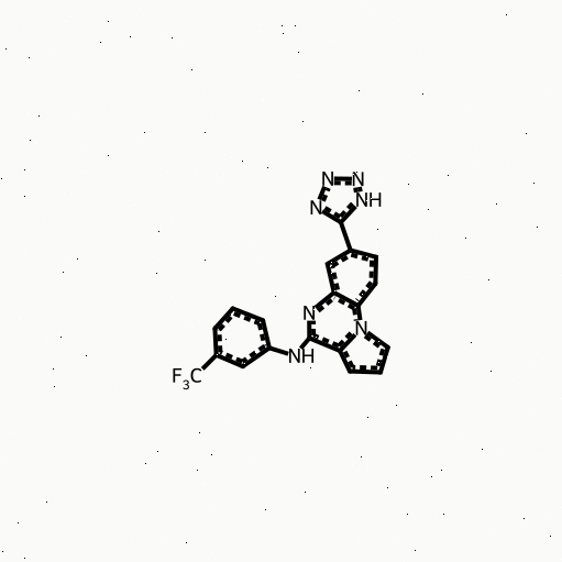 FC(F)(F)c1cccc(Nc2nc3cc(-c4nnn[nH]4)ccc3n3cccc23)c1